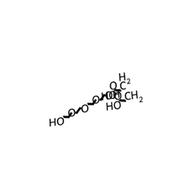 C=CC(=O)O.C=CC(=O)O.OCCOCCOCCOCCO